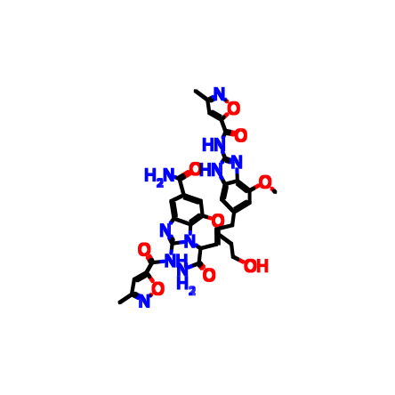 COc1cc(C/C=C/C(C(N)=O)n2c(NC(=O)c3cc(C)no3)nc3cc(C(N)=O)cc(OCCCO)c32)cc2[nH]c(NC(=O)c3cc(C)no3)nc12